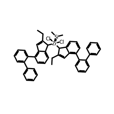 CCC1=Cc2c(-c3ccccc3-c3ccccc3)cccc2[CH]1[Zr]([Cl])([Cl])([CH]1C(CC)=Cc2c(-c3ccccc3-c3ccccc3)cccc21)=[Si](C)C